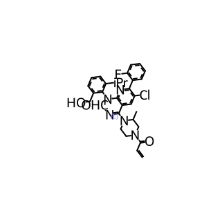 C=CC(=O)N1CCN(/C(=N/C)c2cc(Cl)c(-c3ccccc3F)nc2N(C=O)c2c(CO)cccc2C(C)C)C(C)C1